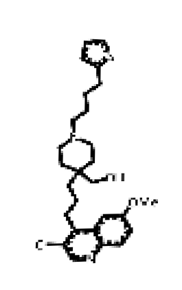 COc1ccc2ncc(Cl)c(CCCC3(CO)CCN(CCCCc4cccs4)CC3)c2c1